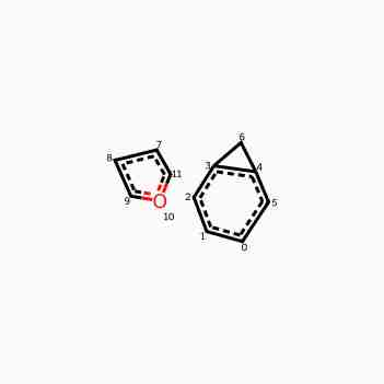 c1ccc2c(c1)C2.c1ccoc1